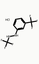 Cl.FC(F)(F)NNc1cccc(C(F)(F)F)c1